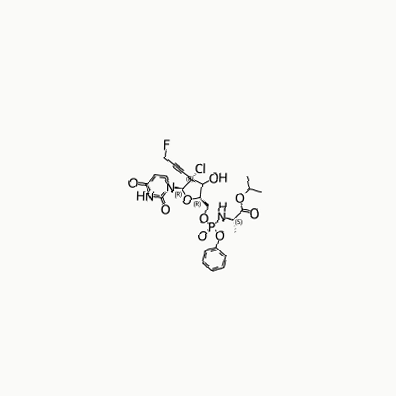 CC(C)OC(=O)[C@H](C)NP(=O)(OC[C@H]1O[C@@H](n2ccc(=O)[nH]c2=O)[C@@](Cl)(C#CCF)C1O)Oc1ccccc1